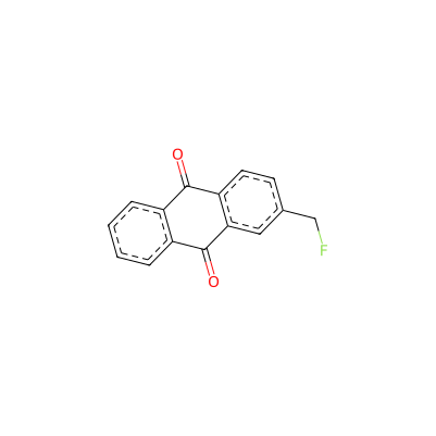 O=C1c2ccccc2C(=O)c2cc(CF)ccc21